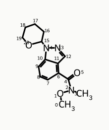 CON(C)C(=O)c1cccc2c1cnn2C1CCCCO1